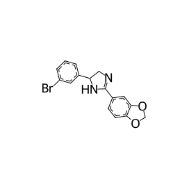 Brc1cccc(C2CN=C(c3ccc4c(c3)OCO4)N2)c1